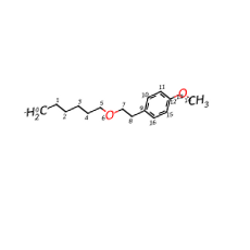 [CH2]CCCCCOCCc1ccc(OC)cc1